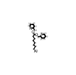 [Al][CH2]CCCCCCC(OCc1ccccn1)OCc1ccccn1